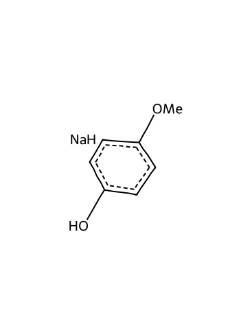 COc1ccc(O)cc1.[NaH]